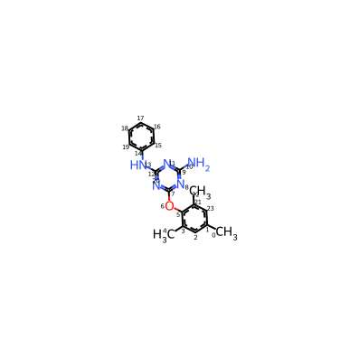 Cc1cc(C)c(Oc2nc(N)nc(Nc3ccccc3)n2)c(C)c1